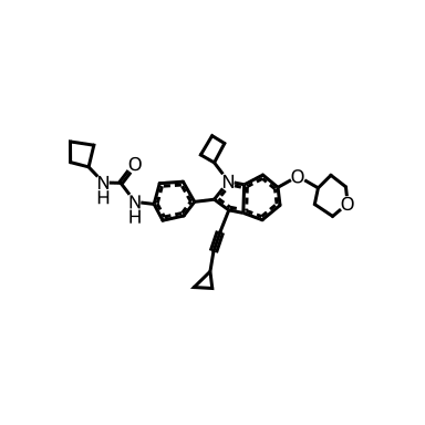 O=C(Nc1ccc(-c2c(C#CC3CC3)c3ccc(OC4CCOCC4)cc3n2C2CCC2)cc1)NC1CCC1